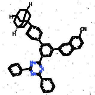 N#Cc1ccc2ccc(-c3cc(-c4ccc(C56C[C@H]7C[C@H](C5)C[C@@H](C6)C7)cc4)cc(-c4nc(-c5ccccc5)nc(-c5ccccc5)n4)c3)cc2c1